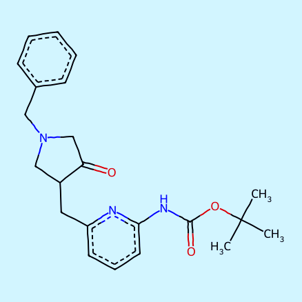 CC(C)(C)OC(=O)Nc1cccc(CC2CN(Cc3ccccc3)CC2=O)n1